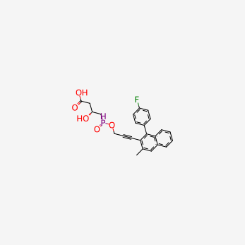 Cc1cc2ccccc2c(-c2ccc(F)cc2)c1C#CCO[PH](=O)C[C@@H](O)CC(=O)O